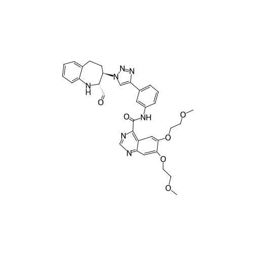 COCCOc1cc2ncnc(C(=O)Nc3cccc(-c4cn([C@@H]5CCc6ccccc6N[C@H]5C=O)nn4)c3)c2cc1OCCOC